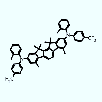 Cc1ccccc1N(c1ccc(C(F)(F)F)cc1)c1cc(C)c2c(c1)C(C)(C)c1c-2ccc2c1C(C)(C)c1cc(N(c3ccc(C(F)(F)F)cc3)c3ccccc3C)cc(C)c1-2